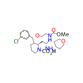 COC(=O)NCCO[C@@H](c1cccc(Cl)c1)C1CCCN(C(=O)O)[C@@H]1C[C@@H](N)C[C@H]1CCCOC1